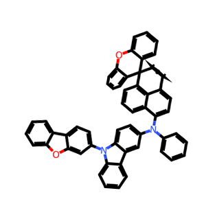 c1ccc(N(c2ccc3c(c2)c2ccccc2n3-c2ccc3c(c2)oc2ccccc23)c2ccc3c4c(cccc24)C2(c4ccccc4Oc4ccccc42)c2ccccc2-3)cc1